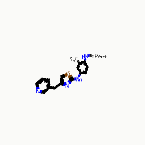 CCCCCNc1ccc(Nc2nc(Cc3cccnc3)cs2)cc1C(F)(F)F